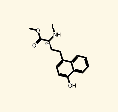 COC(=O)[C@H](CCc1ccc(O)c2ccccc12)NI